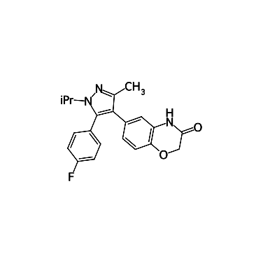 Cc1nn(C(C)C)c(-c2ccc(F)cc2)c1-c1ccc2c(c1)NC(=O)CO2